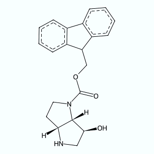 O=C(OCC1c2ccccc2-c2ccccc21)N1CC[C@H]2NC[C@H](O)[C@H]21